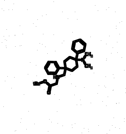 CN(C)C1(c2ccccc2)CCC(CNCC(=O)OC(C)(C)C)(c2ccccc2)CC1